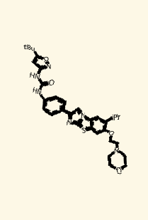 CC(C)c1cc2c(cc1OCCN1CCOCC1)sc1nc(-c3ccc(NC(=O)Nc4cc(C(C)(C)C)on4)cc3)cn12